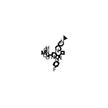 CN(C)S(=O)(=O)NC(=O)c1cc(N2CCC3(CC2)CCN(C2CC2)CC3)c2c(C3CCC3)nn(-c3ccc(F)cc3)c2n1